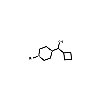 CC(C)N1CCN(C(O)C2CCC2)CC1